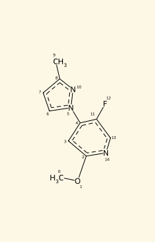 COc1cc(-n2ccc(C)n2)c(F)cn1